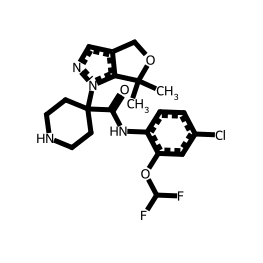 CC1(C)OCc2cnn(C3(C(=O)Nc4ccc(Cl)cc4OC(F)F)CCNCC3)c21